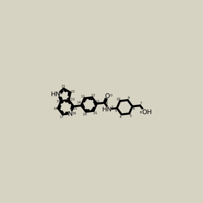 O=C(NC1CCC(CO)CC1)c1ccc(-c2nccc3[nH]ccc23)cc1